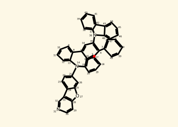 c1ccc(-c2ccc(-c3ccccc3N(c3ccccc3)c3ccc4c(c3)oc3ccncc34)cc2-n2c3ccccc3c3ccccc32)cc1